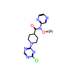 CCCON(C(=O)C1CCN(c2ncnc(Cl)n2)CC1)c1cnccn1